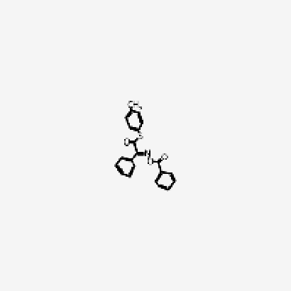 Cc1ccc(SC(=O)C(=NOC(=O)c2ccccc2)c2ccccc2)cc1